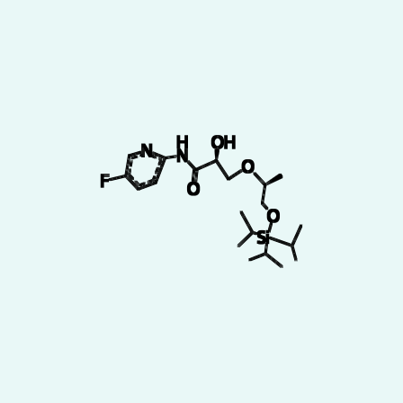 CC(C)[Si](OC[C@H](C)OC[C@H](O)C(=O)Nc1ccc(F)cn1)(C(C)C)C(C)C